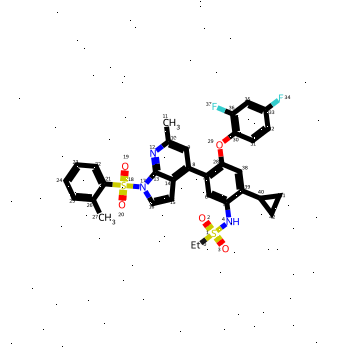 CCS(=O)(=O)Nc1cc(-c2cc(C)nc3c2ccn3S(=O)(=O)c2ccccc2C)c(Oc2ccc(F)cc2F)cc1C1CC1